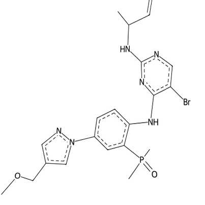 C=CC(C)Nc1ncc(Br)c(Nc2ccc(-n3cc(COC)cn3)cc2P(C)(C)=O)n1